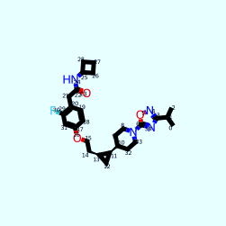 CC(C)c1noc(N2CCC([C@H]3C[C@H]3CCOc3ccc(CC(=O)NC4CCC4)c(F)c3)CC2)n1